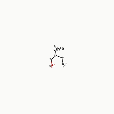 COC(CBr)CC(C)=O